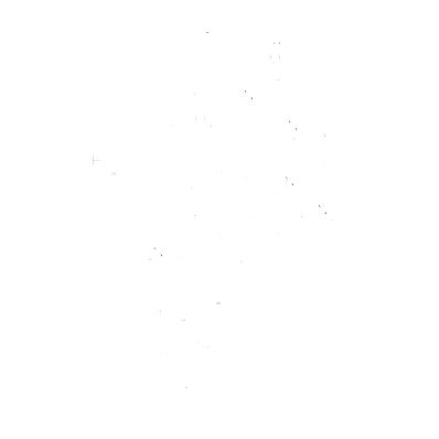 CCCCOc1ccccc1N1CCN(Cc2cnc(C)n2Cc2ccc(C#N)c(Oc3cccc(OCCO)c3)c2)CC1=O.Cl.Cl